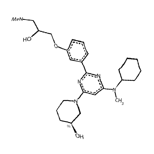 CNCC(O)COc1cccc(-c2nc(N3CCC[C@H](O)C3)cc(N(C)C3CCCCC3)n2)c1